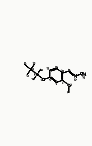 COc1cc(O[Si](C)(C)C(C)(C)C)ccc1/C=N/O